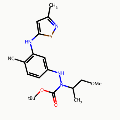 COCC(C)N(Nc1ccc(C#N)c(Nc2cc(C)ns2)c1)C(=O)OC(C)(C)C